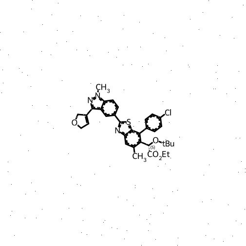 CCOC(=O)[C@@H](OC(C)(C)C)c1c(C)cc2nc(-c3ccc4c(c3)c(C3=CCOC3)nn4C)sc2c1-c1ccc(Cl)cc1